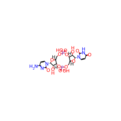 Nc1ccn([C@@H]2O[C@@H]3COP(=O)(O)O[C@H]4[C@@H](O)[C@H](n5ccc(=O)[nH]c5=O)O[C@@H]4COP(=O)(O)O[C@H]3[C@H]2O)c(=O)n1